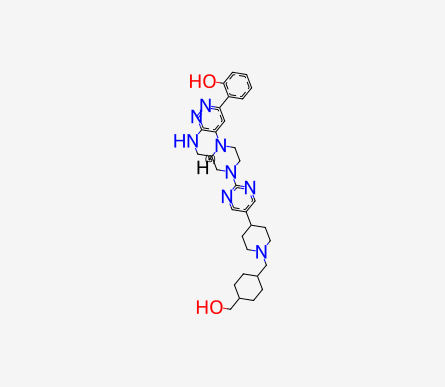 OCC1CCC(CN2CCC(c3cnc(N4CCN5c6cc(-c7ccccc7O)nnc6NC[C@H]5C4)nc3)CC2)CC1